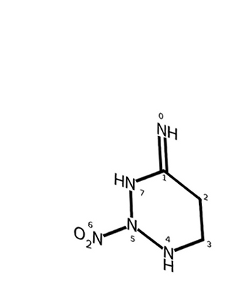 N=C1CCNN([N+](=O)[O-])N1